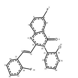 O=c1c2cc(F)ccc2nc(C=Cc2ccccc2F)n1-c1cccnc1Cl